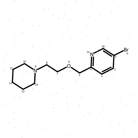 Brc1ccc(COCCN2CCCCC2)nc1